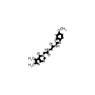 COc1ccc2nc(NC(=O)CNC(=O)Cn3cnc4sc(C)c(C)c4c3=O)sc2c1